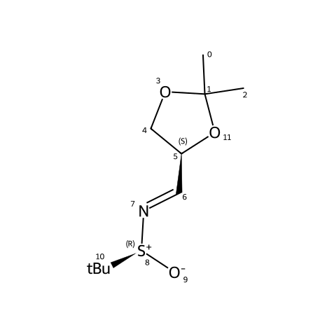 CC1(C)OC[C@H](C=N[S@@+]([O-])C(C)(C)C)O1